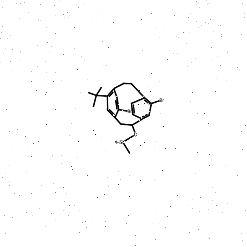 C[SiH](C)OC1Cc2cc(C(C)(C)C)c(cc2Br)CCc2ccc1cc2Br